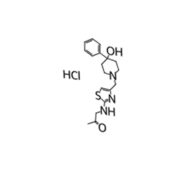 CC(=O)CNc1nc(CN2CCC(O)(c3ccccc3)CC2)cs1.Cl